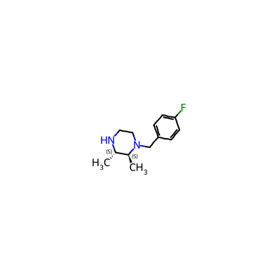 C[C@@H]1NCCN(Cc2ccc(F)cc2)[C@H]1C